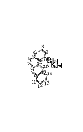 Bc1cccc2ccc3cc4ccccc4cc3c12.[KH]